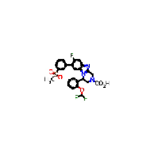 CS(=O)(=O)c1cccc(-c2cc3c(cc2F)nc2n3C(c3ccccc3OC(F)F)CN(C(=O)O)C2)c1